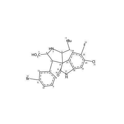 CC(C)(C)CC1NC(C(=O)O)C(c2cccc(Br)c2)C12C(=O)Nc1cc(Cl)c(F)cc12